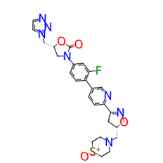 O=C1O[C@@H](Cn2ccnn2)CN1c1ccc(-c2ccc(C3=NO[C@H](CN4CC[S+]([O-])CC4)C3)nc2)c(F)c1